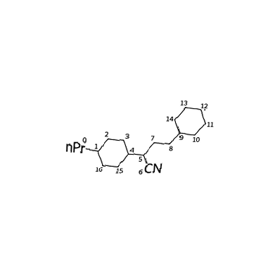 CCCC1CCC(C(C#N)CCC2CC[CH]CC2)CC1